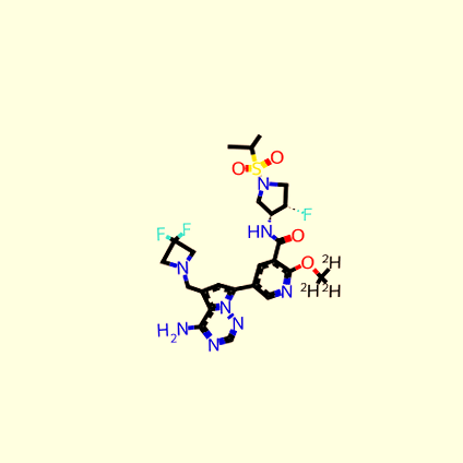 [2H]C([2H])([2H])Oc1ncc(-c2cc(CN3CC(F)(F)C3)c3c(N)ncnn23)cc1C(=O)N[C@@H]1CN(S(=O)(=O)C(C)C)C[C@@H]1F